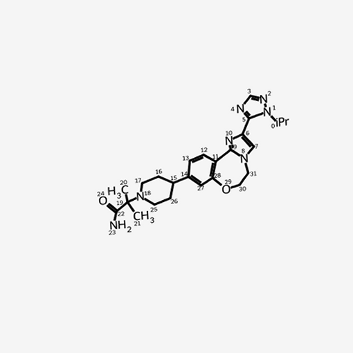 CC(C)n1ncnc1-c1cn2c(n1)-c1ccc(C3CCN(C(C)(C)C(N)=O)CC3)cc1OCC2